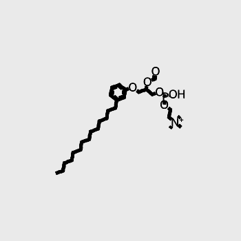 CCCCCCCCCCCCCCc1cccc(OCC(COP(O)OCC[N+](C)(C)C)OC=O)c1